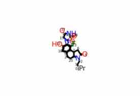 CC(C)CCN1C(=O)CC2c3c(cc(O)c(N4CC(=O)NS4(=O)=O)c3F)CCC21